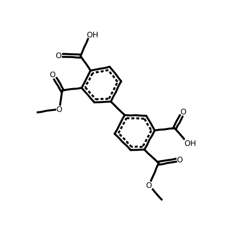 COC(=O)c1ccc(-c2ccc(C(=O)O)c(C(=O)OC)c2)cc1C(=O)O